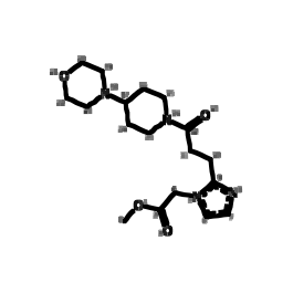 COC(=O)Cn1ccnc1CCC(=O)N1CCC(N2CCOCC2)CC1